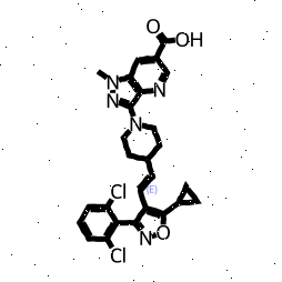 Cn1nc(N2CCC(/C=C/c3c(-c4c(Cl)cccc4Cl)noc3C3CC3)CC2)c2ncc(C(=O)O)cc21